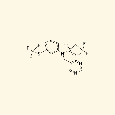 O=S(=O)(CC(F)(F)F)N(Cc1cncnc1)c1cccc(SC(F)(F)F)c1